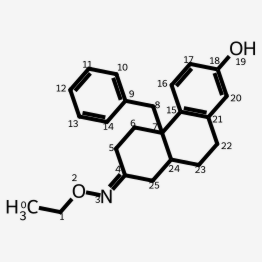 CCON=C1CCC2(Cc3ccccc3)c3ccc(O)cc3CCC2C1